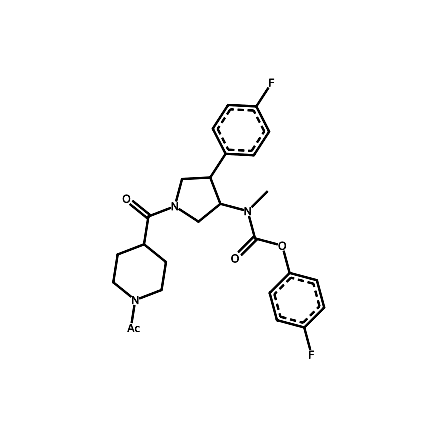 CC(=O)N1CCC(C(=O)N2CC(c3ccc(F)cc3)C(N(C)C(=O)Oc3ccc(F)cc3)C2)CC1